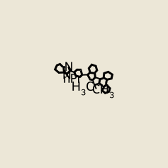 CCCn1c(-c2ccc(-c3cc4c(c5ccccc35)-c3c(c5ccccc5c5ccccc35)C4(C)C)cc2)nc2ccccc21